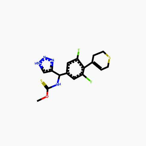 COC(=S)NC(c1cc(F)c(C2=CCSCC2)c(F)c1)c1c[nH]nn1